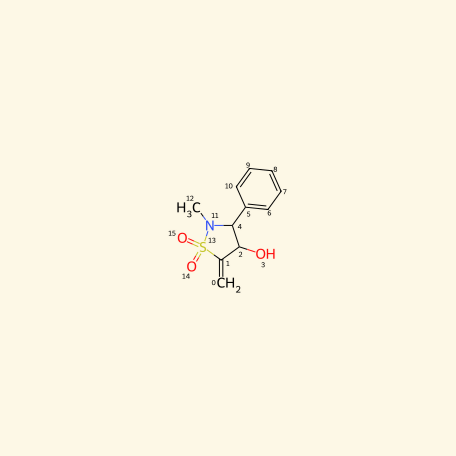 C=C1C(O)C(c2ccccc2)N(C)S1(=O)=O